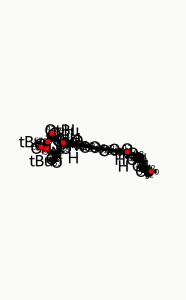 Cc1ccc2oc(=O)n(Cc3ccc(OCC(=O)NCCOCCOCCOCCOCCC(=O)NNC(=O)C(N)N4CCN(CC(=O)OC(C)(C)C)CCN(CC(=O)OC(C)(C)C)CCN(CC(=O)OC(C)(C)C)CC4)c(O)c3)c2c1